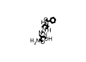 NC(=O)c1cnc(N2C[C@@H]3C[C@H]2CN3C(=O)C2CCCCC2)nc1O